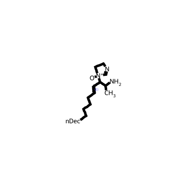 CCCCCCCCCCCCCC/C=C/C(C(C)N)[N+]1([O-])C=NCC1